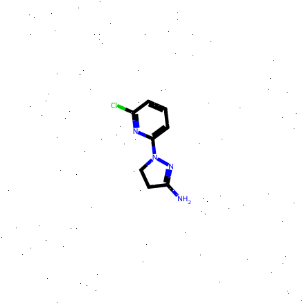 NC1=NN(c2cccc(Cl)n2)CC1